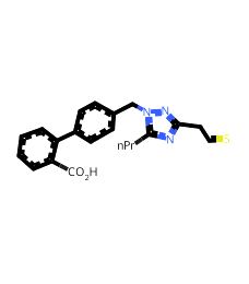 CCCc1nc(CC=S)nn1Cc1ccc(-c2ccccc2C(=O)O)cc1